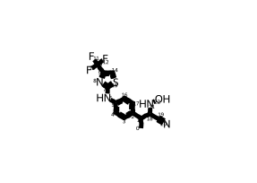 CC(c1ccc(Nc2nc(C(F)(F)F)cs2)cc1)C(C#N)NO